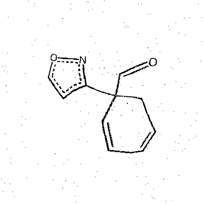 O=[C]C1(c2ccon2)C=CC=CC1